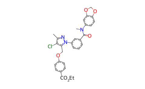 CCOC(=O)c1ccc(OCc2c(Cl)c(C)nn2-c2cccc(C(=O)N(C)c3ccc4c(c3)OCO4)c2)cc1